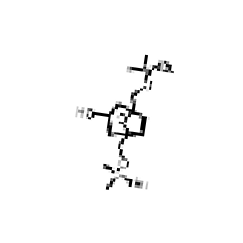 CC(C)(C)[Si](C)(C)OCC12C=CC(CO[Si](C)(C)C(C)(C)C)(CC(O)C1)O2